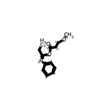 CCC(=Nc1ccccc1)OC(=O)CCOC